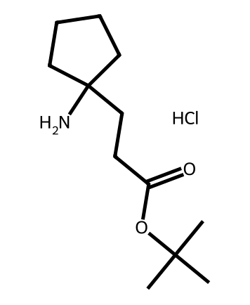 CC(C)(C)OC(=O)CCC1(N)CCCC1.Cl